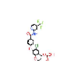 O=C(O)OC1CCOc2cc(Oc3ccc(C(=O)Nc4cc(C(F)(F)F)ccn4)cc3)c(Cl)cc21